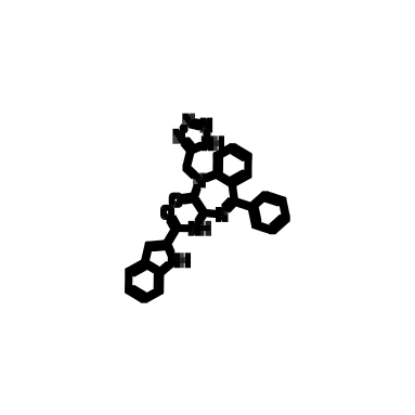 O=C(NC1N=C(c2ccccc2)c2ccccc2N(Cc2nnn[nH]2)C1=O)c1cc2ccccc2[nH]1